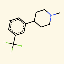 CN1CCC(c2c[c]cc(C(F)(F)F)c2)CC1